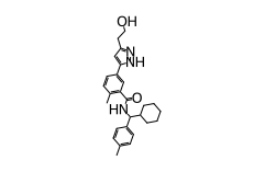 Cc1ccc(C(NC(=O)c2cc(-c3cc(CCO)n[nH]3)ccc2C)C2CCCCC2)cc1